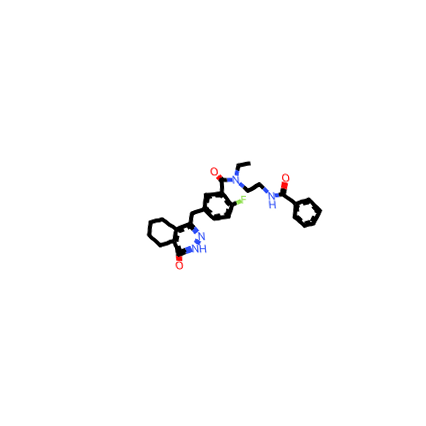 CCN(CCNC(=O)c1ccccc1)C(=O)c1cc(Cc2n[nH]c(=O)c3c2CCCC3)ccc1F